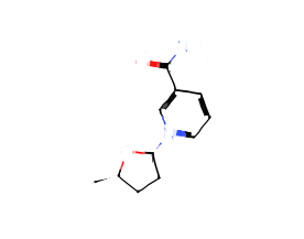 C[C@@H]1CC[C@H]([n+]2cccc(C(N)=O)c2)O1